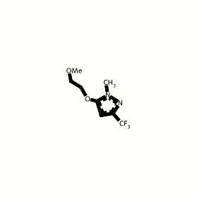 COCCOc1[c]c(C(F)(F)F)nn1C